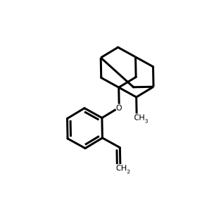 C=Cc1ccccc1OC12CC3CC(CC(C3)C1C)C2